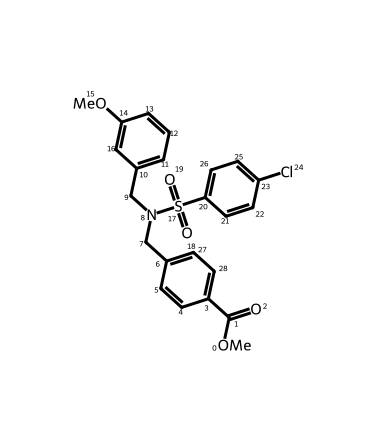 COC(=O)c1ccc(CN(Cc2cccc(OC)c2)S(=O)(=O)c2ccc(Cl)cc2)cc1